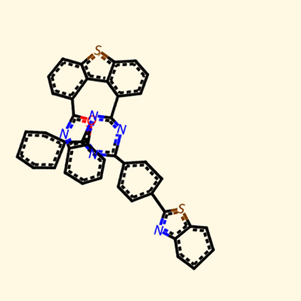 c1ccc(-c2nc(-c3ccc(-c4nc5ccccc5s4)cc3)nc(-c3cccc4sc5cccc(-c6nc7ccccc7o6)c5c34)n2)cc1